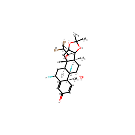 CC1(C)O[C@@H]2C[C@H]3[C@@H]4C[C@H](F)C5=CC(=O)C=C[C@]5(C)[C@@]4(F)[C@@H](O)C[C@]3(C)[C@]2(C(=O)C(Br)Br)O1